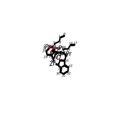 C=CCC[Si](OC1=C2CCC3=C(O[Si](CCC=C)(C(C)C)C(C)C)[CH]([Zr][CH]1c1ccccc12)c1ccccc13)(C(C)C)C(C)C